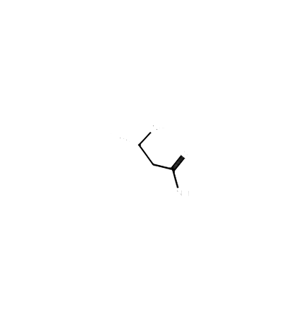 CC(=O)[C@H](N)CC(N)=O